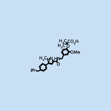 COc1cc(CNC(=O)c2cc(-c3ccc(CC(C)C)cc3)n(C)n2)ccc1OC(C)(C)C(=O)O